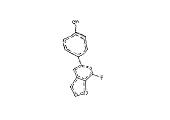 Oc1ccc(-c2cc(F)c3occc3c2)cc1